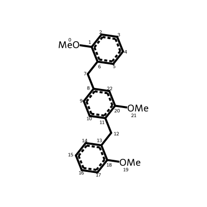 COc1ccccc1Cc1ccc(Cc2ccccc2OC)c(OC)c1